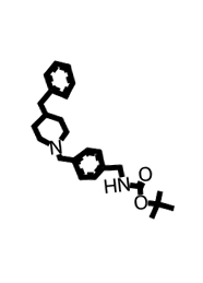 CC(C)(C)OC(=O)NCc1ccc(CN2CCC(Cc3ccccc3)CC2)cc1